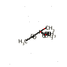 CCCCCCCCCOC(=O)CCCCCCCN(CCCCCCCC)CCCNC(=O)C(C)(C)COC